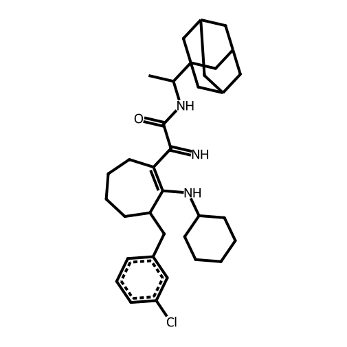 CC(NC(=O)C(=N)C1=C(NC2CCCCC2)C(Cc2cccc(Cl)c2)CCCC1)C12CC3CC(CC(C3)C1)C2